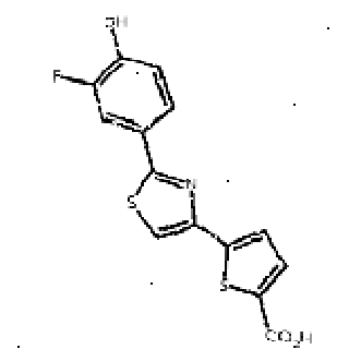 O=C(O)c1ccc(-c2csc(-c3ccc(O)c(F)c3)n2)s1